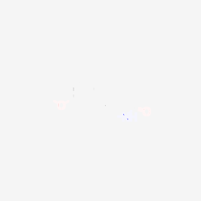 CCC1(c2cccc(OC)c2)CCCC(=O)NC1